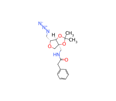 CC1(C)O[C@@H]2[C@@H](CN=[N+]=[N-])OC[C@]2(CNC(=O)Cc2ccccc2)O1